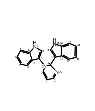 C1=CN(c2c[nH]c3ccccc23)C(c2c[nH]c3ccccc23)N=C1